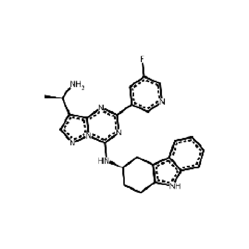 C[C@@H](N)c1cnn2c(N[C@@H]3CCc4[nH]c5ccccc5c4C3)nc(-c3cncc(F)c3)nc12